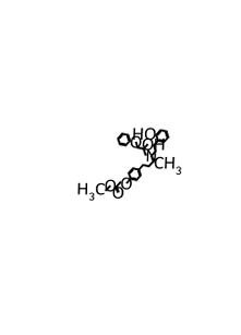 CCOC(=O)COc1ccc(CCC(C)N(CCc2ccccc2O)CC(O)COc2ccccc2)cc1